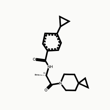 C[C@H](NC(=O)c1ccc(C2CC2)cc1)C(=O)N1CCC2(CC1)CC2